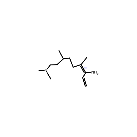 C=C/C(N)=C(/C)CCC(C)CCN(C)C